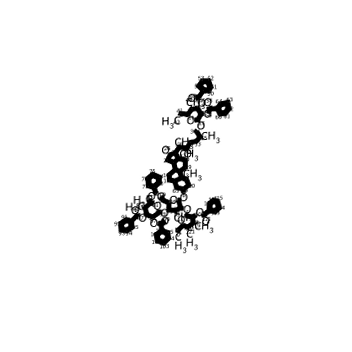 CCC1O[C@@H](OC2[C@H](OC3CCC4(C)C(CCC5C4CCC4(C)C5CC(=O)C4[C@H](C)C(=O)CC[C@H](C)CO[C@@H]4OC(CC)[C@H](C)[C@H](OC(=O)c5ccccc5)C4OC(=O)c4ccccc4)C3)OC(COC(=O)c3ccccc3)[C@@H](O[C@@H]3OC(C)[C@H](C)[C@H](OC(=O)c4ccccc4)C3OC(=O)c3ccccc3)[C@@H]2C)C(OC(=O)c2ccccc2)[C@@H](C)[C@@H]1C